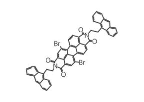 O=C1c2ccc3c4c(Br)cc5c6c(cc(Br)c(c7ccc(c2c37)C(=O)N1CCc1c2ccccc2cc2ccccc12)c64)C(=O)N(CCc1c2ccccc2cc2ccccc12)C5=O